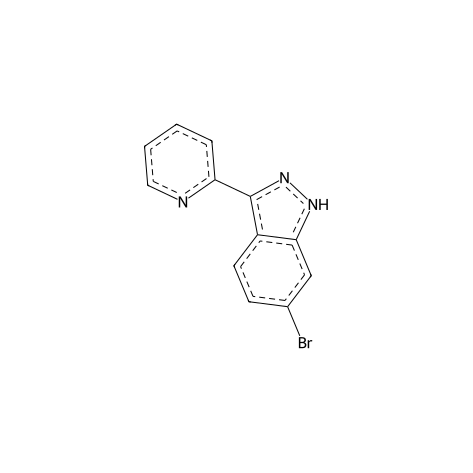 Brc1ccc2c(-c3ccccn3)n[nH]c2c1